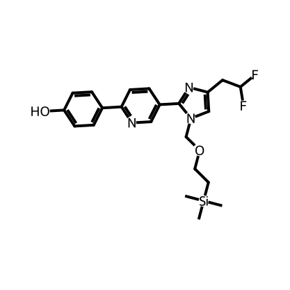 C[Si](C)(C)CCOCn1cc(CC(F)F)nc1-c1ccc(-c2ccc(O)cc2)nc1